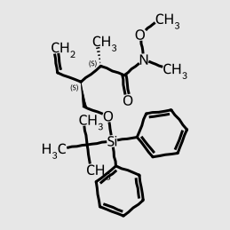 C=C[C@H](CO[Si](c1ccccc1)(c1ccccc1)C(C)(C)C)[C@H](C)C(=O)N(C)OC